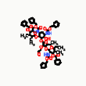 CCC1OC(OC2C(CC)OC(OC3C(O)C(NC(=O)OCc4ccccc4)CC(NC(=O)OCc4ccccc4)C3OC3OC4COC(c5ccccc5)OC4C(C)C3C)C2OCC=O)C(NC(=O)OCc2ccccc2)C(OC(=O)c2ccccc2)C1C